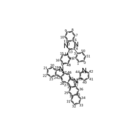 c1ccc(-c2nc3ccccc3nc2-c2ccc(-n3c4ccccc4c4cc5c6cc7ccccc7cc6n(-c6cccnc6)c5cc43)cc2)cc1